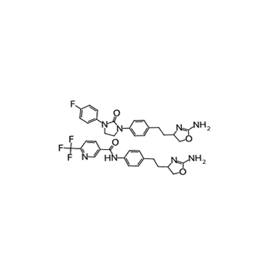 NC1=NC(CCc2ccc(N3CCN(c4ccc(F)cc4)C3=O)cc2)CO1.NC1=NC(CCc2ccc(NC(=O)c3ccc(C(F)(F)F)nc3)cc2)CO1